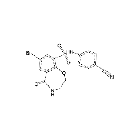 N#Cc1ccc(NS(=O)(=O)c2cc(Br)cc3c2OCCNC3=O)cc1